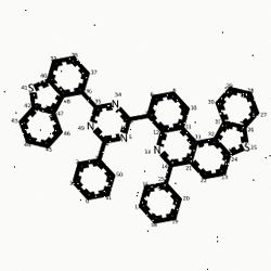 c1ccc(-c2nc(-c3cccc4c3nc(-c3ccccc3)c3ccc5sc6ccccc6c5c34)nc(-c3cccc4sc5ccccc5c34)n2)cc1